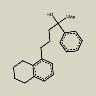 CNC(O)(CCCc1cccc2c1CCCC2)c1ccccc1